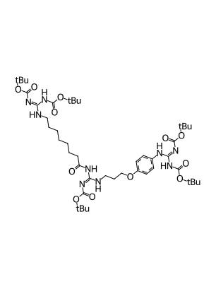 CC(C)(C)OC(=O)/N=C(/NCCCCCCCC(=O)N/C(=N/C(=O)OC(C)(C)C)NCCCOc1ccc(N/C(=N\C(=O)OC(C)(C)C)NC(=O)OC(C)(C)C)cc1)NC(=O)OC(C)(C)C